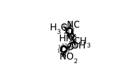 [C-]#[N+]c1cc2cc(C(C)(O)COc3cccc([N+](=O)[O-])c3)[nH]c2cc1C